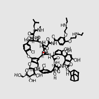 CCNCCOc1ccc(C(=O)NC(=O)C[C@@H]2NC(=O)[C@H](NC(=O)[C@@H](CC(C)C)NC)[C@H](O)c3ccc(c(Cl)c3)Oc3cc4cc(c3O[C@@H]3O[C@H](CO)[C@@H](O)[C@H](O)[C@H]3O)Oc3ccc(cc3Cl)[C@@H](O)[C@@H]3NC(=O)[C@H](NC(=O)[C@@H]4NC2=O)c2ccc(O)c(c2)-c2c(O)cc(O)cc2[C@@H](C(=O)NC2C4CC5CC(C4)CC2C5)NC3=O)cc1OCCNCC